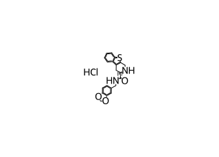 Cl.O=C(NCc1ccc2c(c1)OCO2)[C@H]1Cc2c(sc3ccccc23)CN1